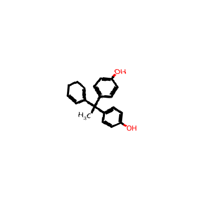 CC(C1=CCCC=C1)(c1ccc(O)cc1)c1ccc(O)cc1